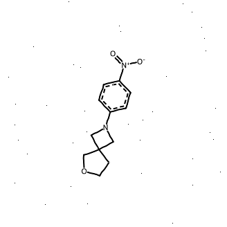 O=[N+]([O-])c1ccc(N2CC3(CCOC3)C2)cc1